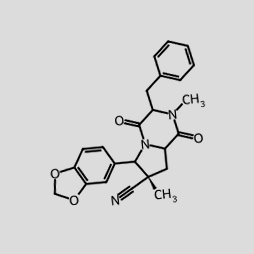 CN1C(=O)C2C[C@](C)(C#N)C(c3ccc4c(c3)OCO4)N2C(=O)C1Cc1ccccc1